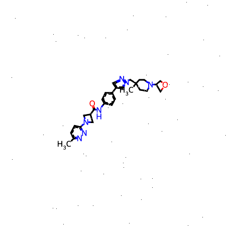 Cc1ccc(N2CC(C(=O)Nc3ccc(-c4cnn(CC5(C)CCN(C6COC6)CC5)c4)cc3)C2)nn1